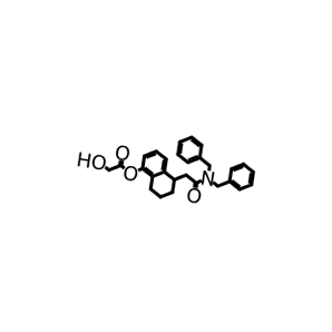 O=C(CO)Oc1cccc2c1CCCC2CC(=O)N(Cc1ccccc1)Cc1ccccc1